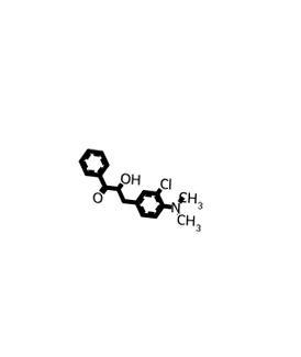 CN(C)c1ccc(CC(O)C(=O)c2ccccc2)cc1Cl